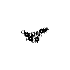 CC1(C)CN(c2ccccc2NC(=O)Nc2ccc(OC(F)(F)F)cc2)c2c(O)cc(F)c(-c3ccc(Cl)cn3)c21